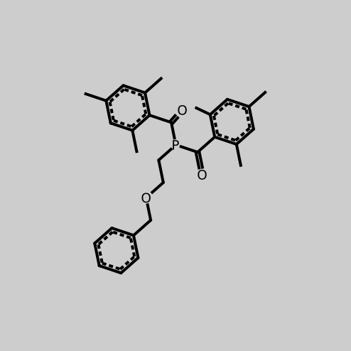 Cc1cc(C)c(C(=O)P(CCOCc2ccccc2)C(=O)c2c(C)cc(C)cc2C)c(C)c1